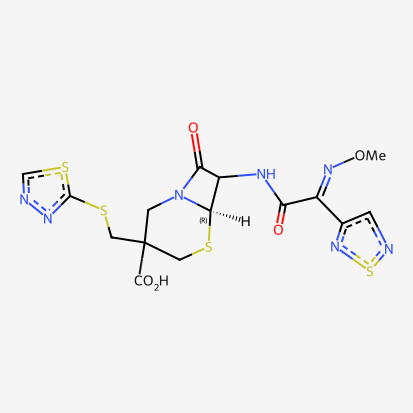 CON=C(C(=O)NC1C(=O)N2CC(CSc3nncs3)(C(=O)O)CS[C@H]12)c1cnsn1